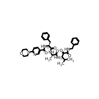 CC(C)[C@H](NC(=O)[C@H](C)NC(=O)[C@H](Cc1ccccc1)NC(=O)c1ccc(N2CCOCC2)nc1)C(=O)C(=O)NCc1ccccc1